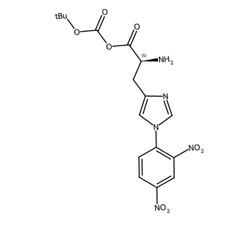 CC(C)(C)OC(=O)OC(=O)[C@@H](N)Cc1cn(-c2ccc([N+](=O)[O-])cc2[N+](=O)[O-])cn1